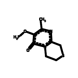 Cc1nc2n(c(=O)c1OP)CCSC2